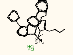 CCCCC1=Cc2c(-c3ccccc3)cccc2[CH]1[Ti]([CH3])([CH3])(=[SiH2])[CH]1C(CCCC)=Cc2c(-c3ccccc3)cccc21.Cl.Cl